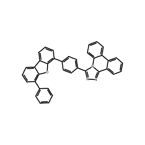 c1ccc(-c2cccc3c2oc2c(-c4ccc(-c5nnc6c7ccccc7c7ccccc7n56)cc4)cccc23)cc1